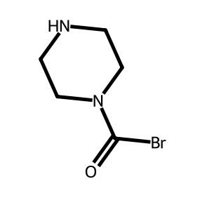 O=C(Br)N1CCNCC1